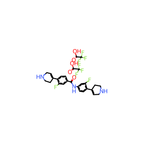 O=C(Nc1ccc(C2=CCNCC2)c(F)c1)c1ccc(C2=CCNCC2)c(F)c1.O=C(O)C(F)(F)F.O=C(O)C(F)(F)F